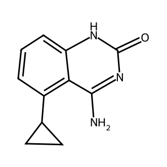 Nc1nc(=O)[nH]c2cccc(C3CC3)c12